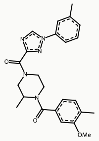 COc1cc(C(=O)N2CCN(C(=O)c3ncn(-c4cccc(C)c4)n3)CC2C)ccc1C